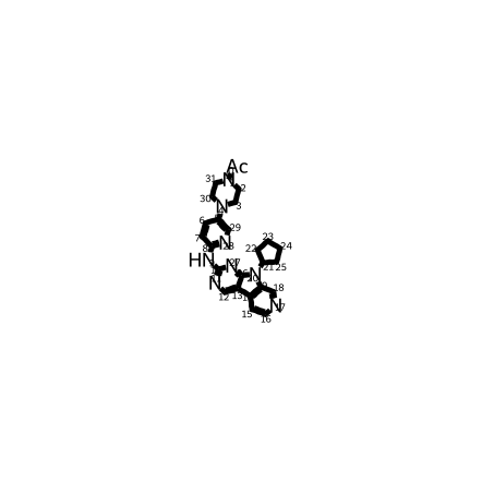 CC(=O)N1CCN(c2ccc(Nc3ncc4c5ccncc5n(C5CCCC5)c4n3)nc2)CC1